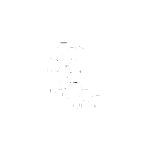 CCC(=O)[C@]1(O)Cc2c(O)c3c(c(O)c2[C@@H](OC2CC(N)C(O)C(C)O2)C1)C(=O)c1c(OC)cccc1C3=O